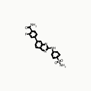 NC(=O)c1ccc(-c2ccc3cnc(Nc4ccc(S(N)(=O)=O)cc4)nc3c2)cc1F